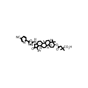 CC(C)C1=C2[C@H]3CC[C@@H]4[C@@]5(C)CC[C@H](OC(=O)CC(C)(C)C(=O)O)C(C)(C)[C@@H]5CC[C@@]4(C)[C@]3(C)CC[C@@]2(Nc2nnc(-c3ccc(C#N)cn3)o2)CC1=O